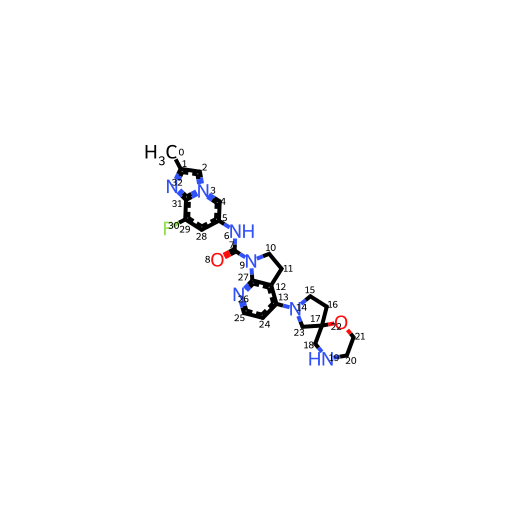 Cc1cn2cc(NC(=O)N3CCc4c(N5CCC6(CNCCO6)C5)ccnc43)cc(F)c2n1